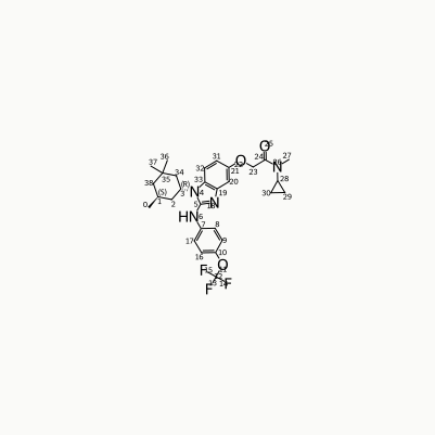 C[C@@H]1C[C@@H](n2c(Nc3ccc(OC(F)(F)F)cc3)nc3cc(OCC(=O)N(C)C4CC4)ccc32)CC(C)(C)C1